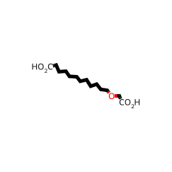 O=C(O)CCCCCCCCCCCOCC(=O)O